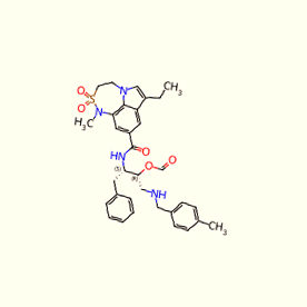 CCc1cn2c3c(cc(C(=O)N[C@@H](Cc4ccccc4)[C@@H](CNCc4ccc(C)cc4)OC=O)cc13)N(C)S(=O)(=O)CC2